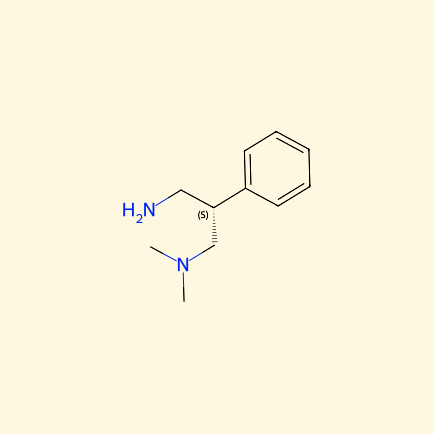 CN(C)C[C@H](CN)c1ccccc1